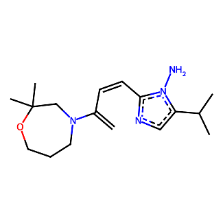 C=C(/C=C\c1ncc(C(C)C)n1N)N1CCCOC(C)(C)C1